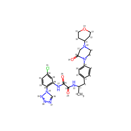 CC(Cc1ccc(N2CCN(C3CCOCC3)CC2=O)cc1)NC(=O)C(=O)Nc1cc(Cl)ccc1-n1cnnn1